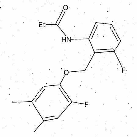 CCC(=O)Nc1cccc(F)c1COc1cc(C)c(C)cc1F